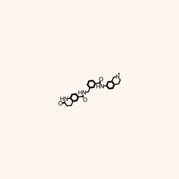 CN1CCc2ccc(NC(=O)c3cccc(CNC(=O)c4ccc5c(c4)CCC(=O)N5)c3)cc2C1